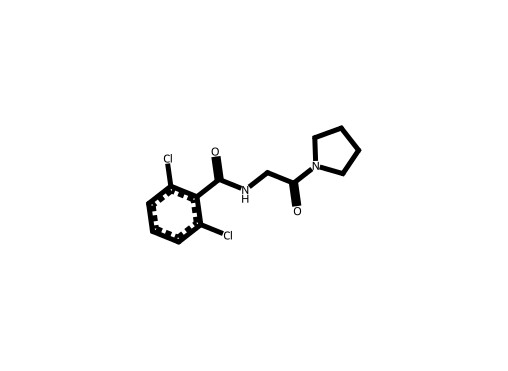 O=C(NCC(=O)N1CCCC1)c1c(Cl)cccc1Cl